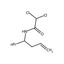 C=CCC(CCC)NC(=O)C(Cl)Cl